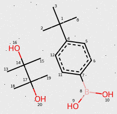 CC(C)(C)c1ccc(B(O)O)cc1.CC(C)(O)C(C)(C)O